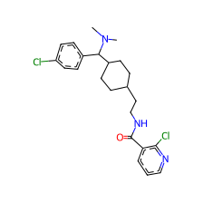 CN(C)C(c1ccc(Cl)cc1)C1CCC(CCNC(=O)c2cccnc2Cl)CC1